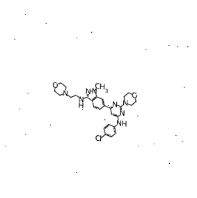 Cn1nc(NCCN2CCOCC2)c2ccc(-c3cc(Nc4ccc(Cl)cc4)nc(N4CCOCC4)n3)cc21